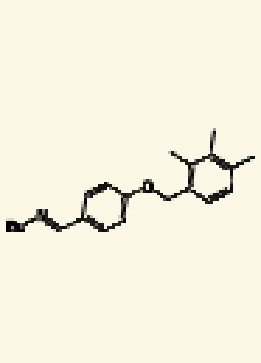 CCC(C)/N=C/c1ccc(OCc2ccc(C)c(C)c2C)cc1